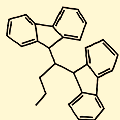 CCCC(C1c2ccccc2-c2ccccc21)C1c2ccccc2-c2ccccc21